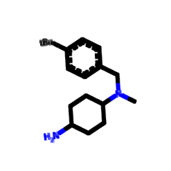 CN(Cc1ccc(C(C)(C)C)cc1)C1CCC(N)CC1